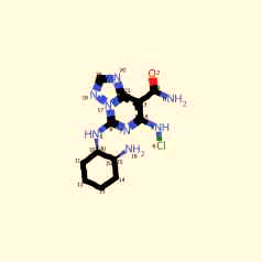 NC(=O)c1c(NCl)nc(N[C@@H]2CCCC[C@@H]2N)n2ncnc12